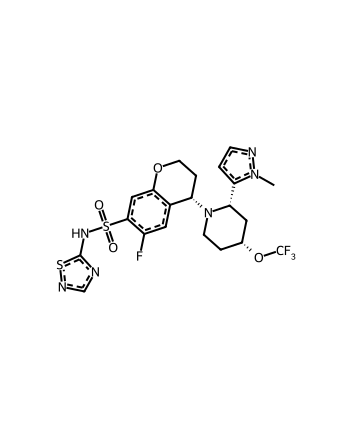 Cn1nccc1[C@@H]1C[C@H](OC(F)(F)F)CCN1[C@H]1CCOc2cc(S(=O)(=O)Nc3ncns3)c(F)cc21